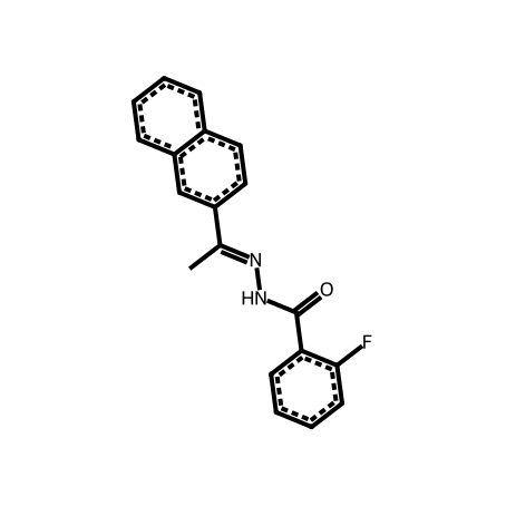 C/C(=N\NC(=O)c1ccccc1F)c1ccc2ccccc2c1